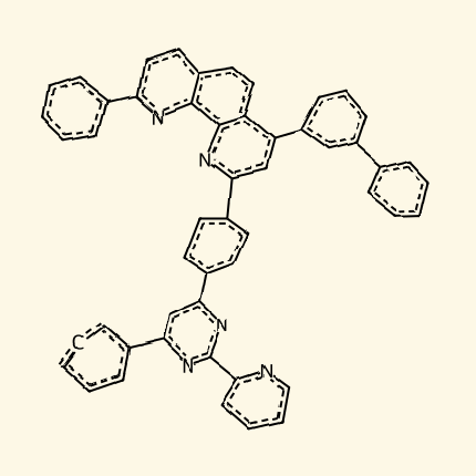 c1ccc(-c2cccc(-c3cc(-c4ccc(-c5cc(-c6ccccc6)nc(-c6ccccn6)n5)cc4)nc4c3ccc3ccc(-c5ccccc5)nc34)c2)cc1